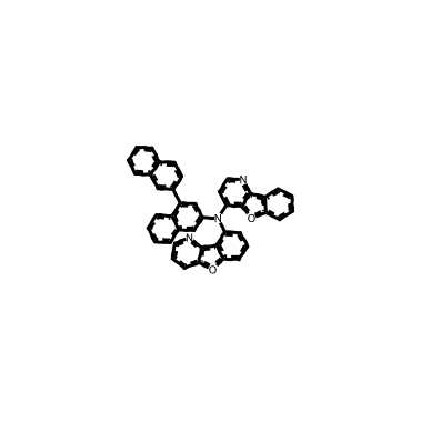 c1ccc2cc(-c3cc(N(c4ccnc5c4oc4ccccc45)c4cccc5oc6cccnc6c45)cc4ccccc34)ccc2c1